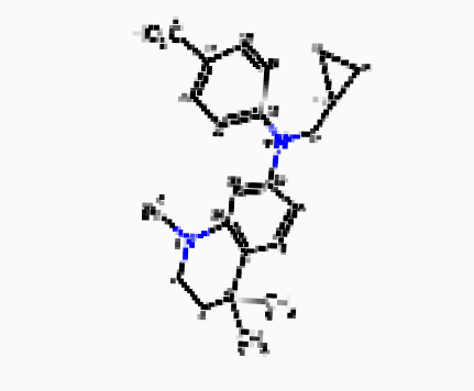 CC(C)N1CCC(C)(C)c2ccc(N(CC3CC3)c3ccc(C(=O)O)cc3)cc21